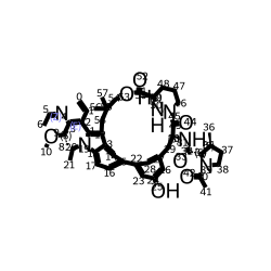 C=C/C(=C(\N=C/C)[C@H](C)OC)c1c2c3cc(ccc3n1CC)-c1cc(O)cc(c1)C[C@H](NC(=O)[C@@H]1[C@@H](C)CCN1C(C)=O)C(=O)N1CCC[C@H](N1)C(=O)OCC(C)(C)C2